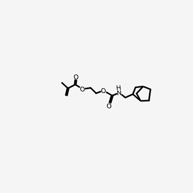 C=C(C)C(=O)OCCOC(=O)NCC1CC2CCC1C2